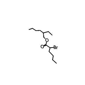 CCCCC(CC)COC(=O)C(Br)CCCC